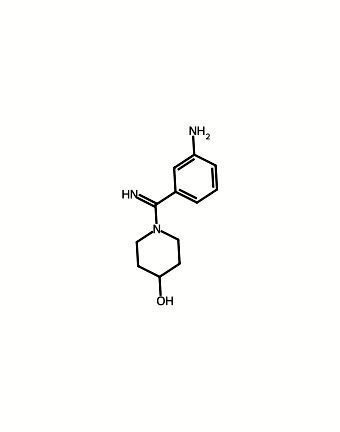 N=C(c1cccc(N)c1)N1CCC(O)CC1